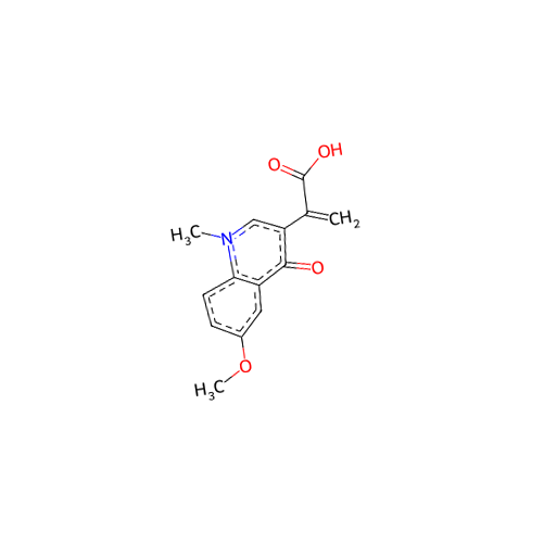 C=C(C(=O)O)c1cn(C)c2ccc(OC)cc2c1=O